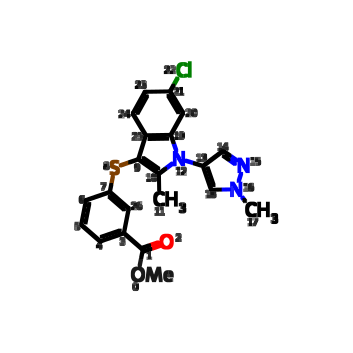 COC(=O)c1cccc(Sc2c(C)n(-c3cnn(C)c3)c3cc(Cl)ccc23)c1